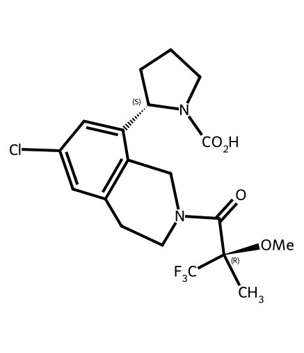 CO[C@](C)(C(=O)N1CCc2cc(Cl)cc([C@@H]3CCCN3C(=O)O)c2C1)C(F)(F)F